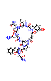 CC[C@H](C)[C@@H]1NC(=O)[C@H](Cc2ccc(O)cc2)NC(=O)CCC(=O)NC[C@@H](C(=O)N2CCC[C@H]2C(=O)N[C@@H](Cc2ccccc2)C(=O)NCC(N)=O)NC(=O)[C@H](CC(N)=O)NC(=O)[C@H](CCC(N)=O)NC1=O